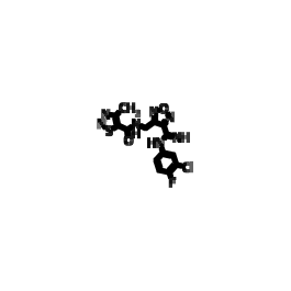 Cc1nnsc1C(=O)NCc1nonc1C(=N)Nc1ccc(F)c(Cl)c1